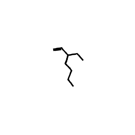 C=C[C](CC)CCCC